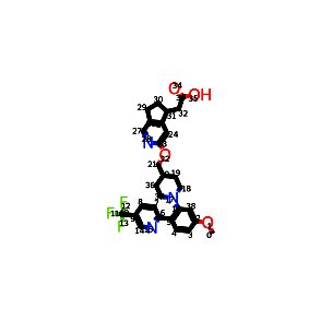 COc1ccc(-c2ccc(C(F)(F)F)cn2)c(N2CCC(COc3cc4c(cn3)CCC4CC(=O)O)CC2)c1